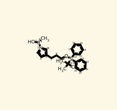 CB(O)n1ccc(CCCO[Si](c2ccccc2)(c2ccccc2)C(C)(C)C)c1